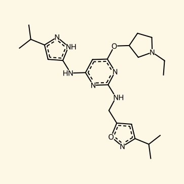 CCN1CCC(Oc2cc(Nc3cc(C(C)C)n[nH]3)nc(NCc3cc(C(C)C)no3)n2)C1